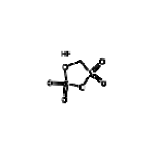 F.O=S1(=O)COS(=O)(=O)O1